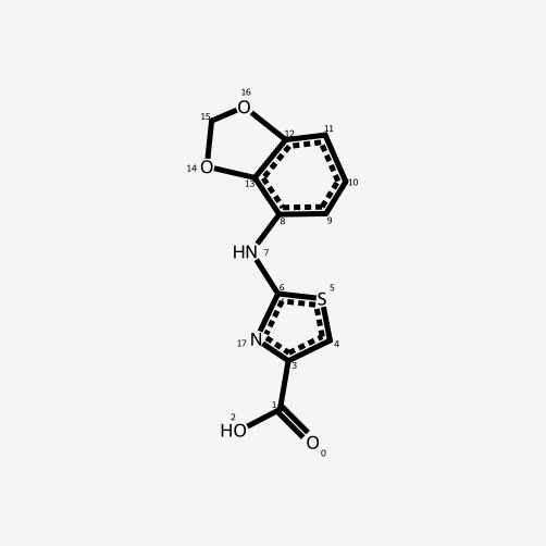 O=C(O)c1csc(Nc2cccc3c2OCO3)n1